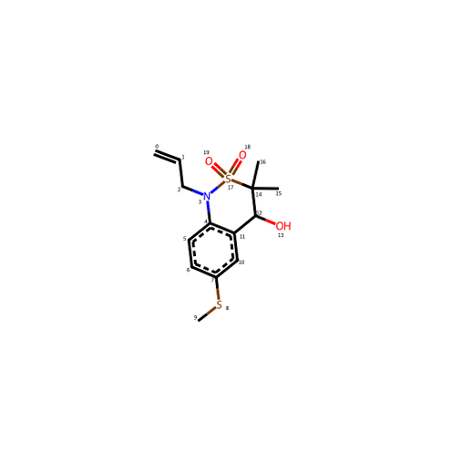 C=CCN1c2ccc(SC)cc2C(O)C(C)(C)S1(=O)=O